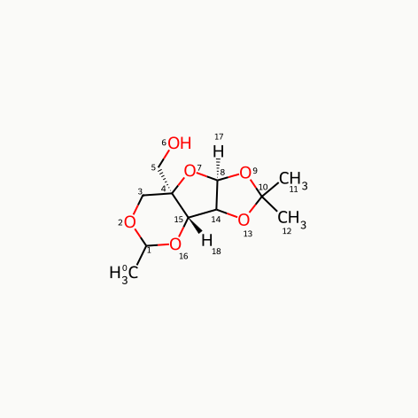 CC1OC[C@@]2(CO)O[C@H]3OC(C)(C)OC3[C@@H]2O1